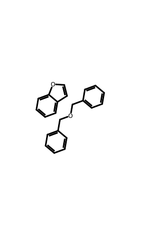 c1ccc(COCc2ccccc2)cc1.c1ccc2occc2c1